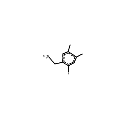 [SiH3]Cc1cc(I)c(I)cc1I